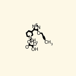 CC#CCOc1nsnc1C1=CCCN(C)C1.O=C(O)C(=O)O